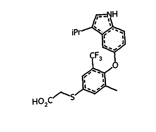 Cc1cc(SCC(=O)O)cc(C(F)(F)F)c1Oc1ccc2[nH]cc(C(C)C)c2c1